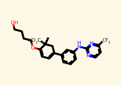 CC1(C(=O)O)CC(c2cccc(Nc3nccc(C(F)(F)F)n3)c2)=CC=C1OCCCCO